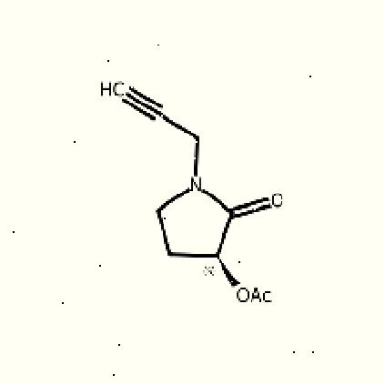 C#CCN1CC[C@H](OC(C)=O)C1=O